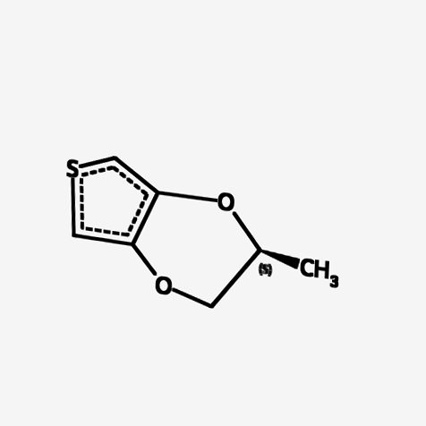 C[C@H]1COc2cscc2O1